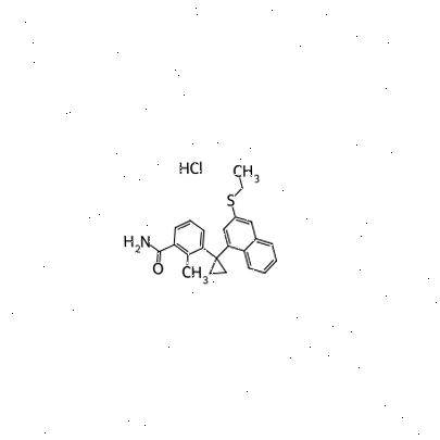 CCSc1cc(C2(c3cccc(C(N)=O)c3C)CC2)c2ccccc2c1.Cl